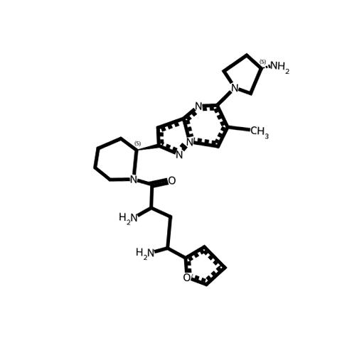 Cc1cn2nc([C@@H]3CCCCN3C(=O)C(N)CC(N)c3ccco3)cc2nc1N1CC[C@H](N)C1